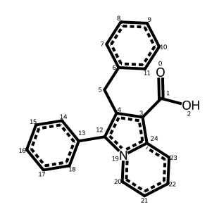 O=C(O)c1c(Cc2ccccc2)c(-c2ccccc2)n2ccccc12